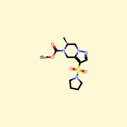 C[C@H]1Cn2ncc(S(=O)(=O)N3CCCC3)c2CN1C(=O)OC(C)(C)C